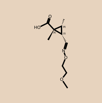 COCCON=C[C@H]1[C@@H](C)[C@@]1(C)C(=O)O